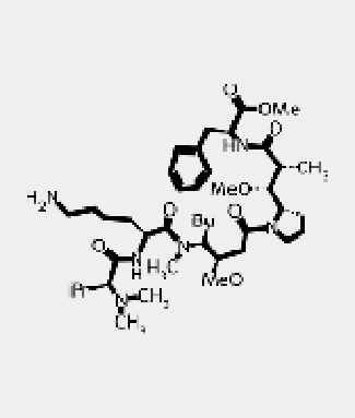 CC[C@H](C)[C@@H]([C@@H](CC(=O)N1CCC[C@H]1[C@H](OC)[C@@H](C)C(=O)N[C@@H](Cc1ccccc1)C(=O)OC)OC)N(C)C(=O)[C@H](CCCCN)NC(=O)[C@H](C(C)C)N(C)C